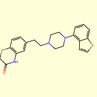 O=C1CSc2ccc(CCN3CCN(c4cccc5sccc45)CC3)cc2N1